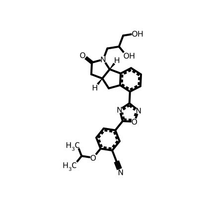 CC(C)Oc1ccc(-c2nc(-c3cccc4c3C[C@@H]3CC(=O)N(CC(O)CO)[C@H]43)no2)cc1C#N